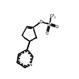 O=S(=O)(OC1=CCC(c2cccnc2)C1)C(F)(F)F